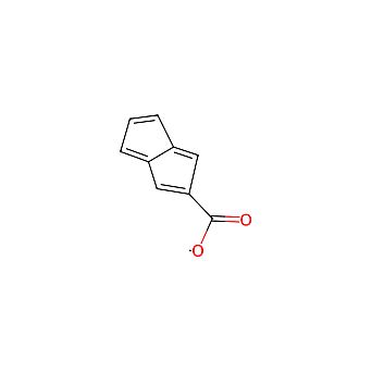 [O]C(=O)C1=CC2=CC=CC2=C1